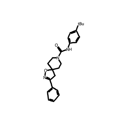 CC(C)(C)c1ccc(NC(=O)N2CCC3(CC2)CC(c2ccccc2)=NO3)cc1